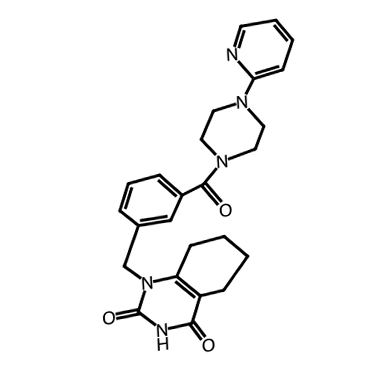 O=C(c1cccc(Cn2c3c(c(=O)[nH]c2=O)CCCC3)c1)N1CCN(c2ccccn2)CC1